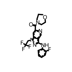 O=C(c1cc2c(cn1)c(Nc1ccccc1F)nn2CC(F)(F)F)N1CCCOCC1